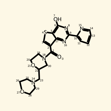 O=C(c1csc2c(O)nc(-c3ccccn3)nc12)N1CCOC(CN2CCOCC2)C1